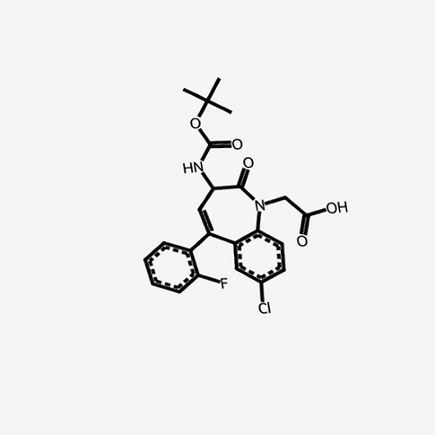 CC(C)(C)OC(=O)NC1C=C(c2ccccc2F)c2cc(Cl)ccc2N(CC(=O)O)C1=O